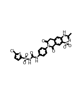 CC1=NS(=O)(=O)c2cc3c(cc2N1)CC(=O)N(c1ccc(NC(=O)NS(=O)(=O)c2ccc(Cl)s2)cc1)C3=O